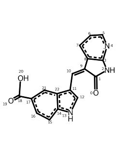 O=C1Nc2ncccc2C1=Cc1c[nH]c2ccc(C(=O)O)cc12